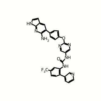 Nc1nc2[nH]ccc2cc1-c1ccc(Oc2ncc(NC(=O)Nc3cc(C(F)(F)F)ccc3-c3cccnc3)cn2)cc1